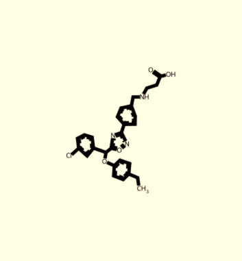 CCc1ccc(OC(c2cccc(Cl)c2)c2nc(-c3ccc(CNCCC(=O)O)cc3)no2)cc1